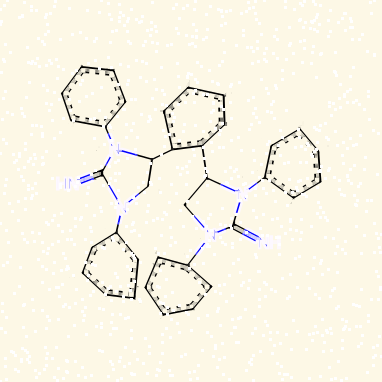 N=C1N(c2ccccc2)CC(c2ccccc2C2CN(c3ccccc3)C(=N)N2c2ccccc2)N1c1ccccc1